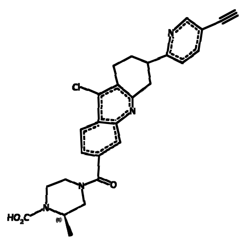 C#Cc1ccc(C2CCc3c(nc4cc(C(=O)N5CCN(C(=O)O)[C@H](C)C5)ccc4c3Cl)C2)nc1